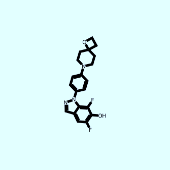 Oc1c(F)cc2cnn(-c3ccc(N4CCC5(CCO5)CC4)cc3)c2c1F